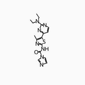 CCN(CC)c1nccc(-c2sc(NC(=O)n3ccnc3)nc2C)n1